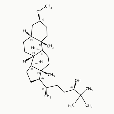 CO[C@H]1CC[C@@]2(C)[C@H](CC[C@@H]3[C@@H]2CC[C@]2(C)[C@@H]([C@H](C)CC[C@@H](O)C(C)(C)C)CC[C@@H]32)C1